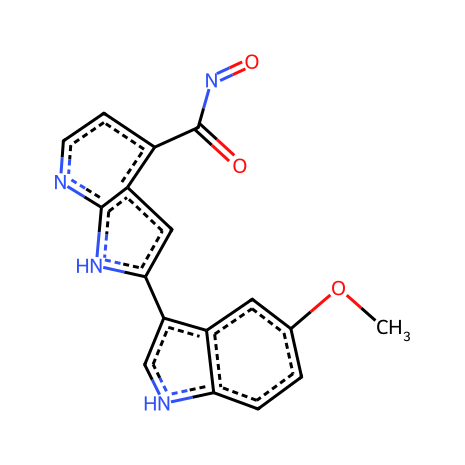 COc1ccc2[nH]cc(-c3cc4c(C(=O)N=O)ccnc4[nH]3)c2c1